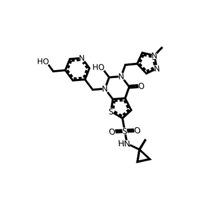 Cn1cc(CN2C(=O)c3cc(S(=O)(=O)NC4(C)CC4)sc3N(Cc3cncc(CO)c3)C2O)cn1